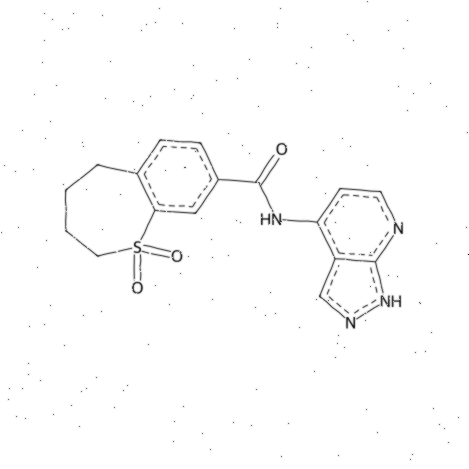 O=C(Nc1ccnc2[nH]ncc12)c1ccc2c(c1)S(=O)(=O)CCCC2